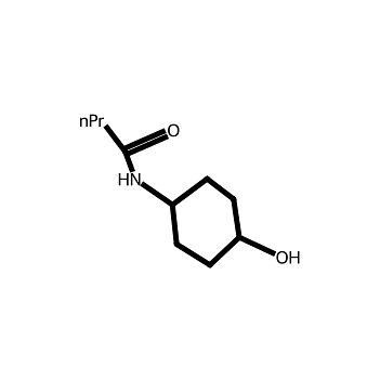 CCCC(=O)NC1CCC(O)CC1